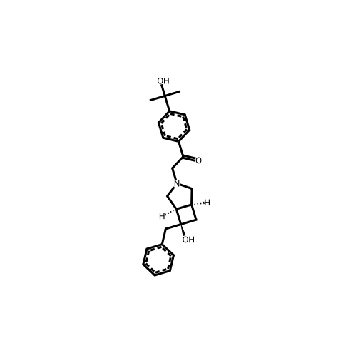 CC(C)(O)c1ccc(C(=O)CN2C[C@H]3C[C@](O)(Cc4ccccc4)[C@H]3C2)cc1